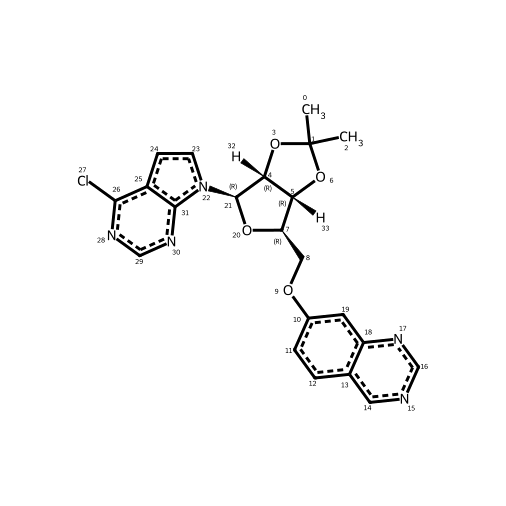 CC1(C)O[C@@H]2[C@H](O1)[C@@H](COc1ccc3cncnc3c1)O[C@H]2n1ccc2c(Cl)ncnc21